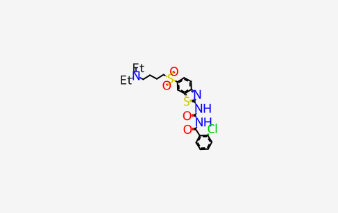 CCN(CC)CCCCS(=O)(=O)c1ccc2nc(NC(=O)NC(=O)c3ccccc3Cl)sc2c1